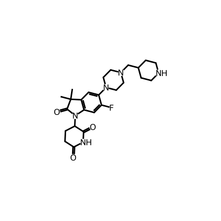 CC1(C)C(=O)N(C2CCC(=O)NC2=O)c2cc(F)c(N3CCN(CC4CCNCC4)CC3)cc21